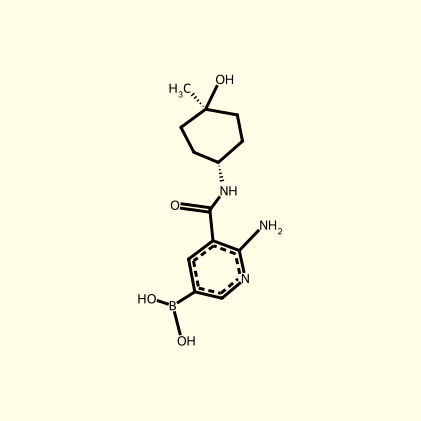 C[C@]1(O)CC[C@H](NC(=O)c2cc(B(O)O)cnc2N)CC1